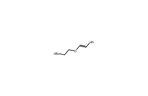 CCCC=COCCCCCC